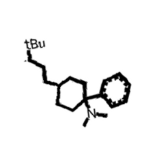 CN(C)C1(c2ccccc2)CCC(CC[CH]C(C)(C)C)CC1